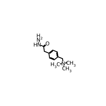 C[N+](C)(C)Cc1ccc(CC(=O)NN)cc1